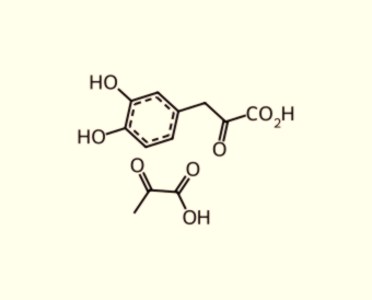 CC(=O)C(=O)O.O=C(O)C(=O)Cc1ccc(O)c(O)c1